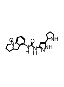 O=C(Nc1cc(C2CCCN2)[nH]n1)Nc1cccc2c1CC1CCC[N+]21[O-]